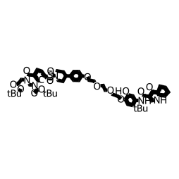 CC(C)(C)OC(=O)CN1CN(C(=O)OC(C)(C)C)c2cc(S(=O)(=O)N3CCC(c4ccc(OCCOCCOCCOc5cc(C(C)(C)C)c(NC(=O)c6c[nH]c7ccccc7c6=O)cc5O)cc4)CC3)ccc2C1=O